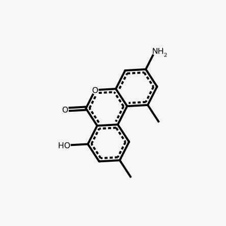 Cc1cc(O)c2c(=O)oc3cc(N)cc(C)c3c2c1